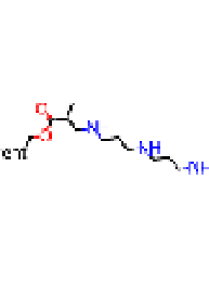 CCCC(C)COC(=O)C(C)CNCCCNCCCN